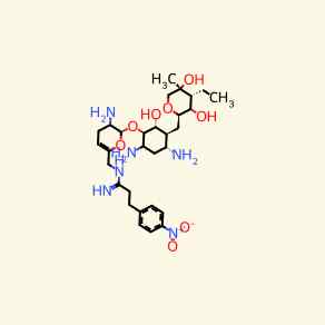 CC[C@@H]1[C@@H](O)[C@@H](C[C@@H]2[C@@H](O)[C@H](O[C@H]3OC(CNC(=N)CCc4ccc([N+](=O)[O-])cc4)=CC[C@H]3N)C(N)C[C@H]2N)OC[C@]1(C)O